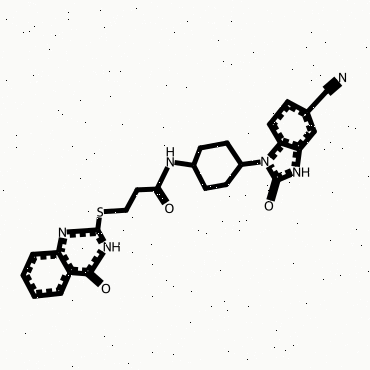 N#Cc1ccc2c(c1)[nH]c(=O)n2C1CCC(NC(=O)CCSc2nc3ccccc3c(=O)[nH]2)CC1